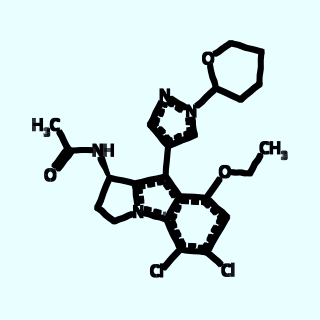 CCOc1cc(Cl)c(Cl)c2c1c(-c1cnn(C3CCCCO3)c1)c1n2CC[C@H]1NC(C)=O